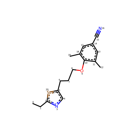 CCc1ncc(CCCOc2c(C)cc(C#N)cc2C)s1